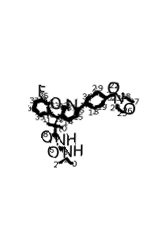 CC(C)NC(=O)NC(=O)C(C)(C)[C@@H]1c2ccc(-c3ccc(C(=O)N4CCOCC4)cc3)nc2Oc2c(F)cccc21